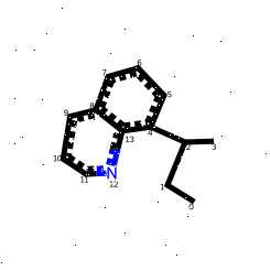 CCC(C)c1cccc2cccnc12